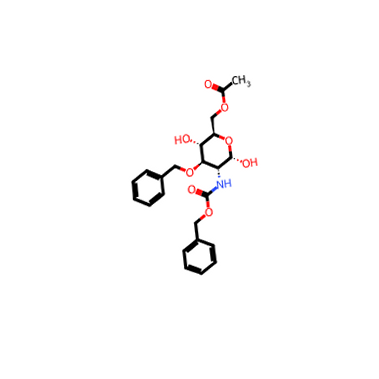 CC(=O)OC[C@H]1O[C@H](O)[C@H](NC(=O)OCc2ccccc2)[C@@H](OCc2ccccc2)[C@@H]1O